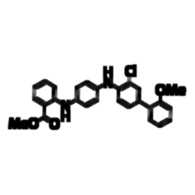 COC(=O)c1ccccc1Nc1ccc(Nc2ccc(-c3ccccc3OC)cc2Cl)cc1